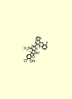 C[C@]1(c2ccc(Cl)c(O)c2)C(=O)Nc2nc(-c3cn4ccnc4c(Cc4c(F)cccc4F)n3)nc(N)c21